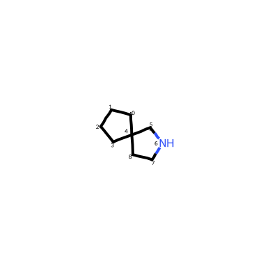 [CH]1CCCC12[CH]NCC2